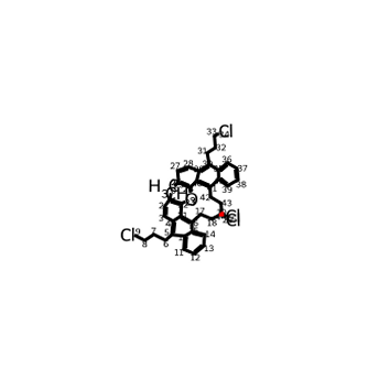 Cc1ccc2c(CCCCl)c3ccccc3c(CCCCl)c2c1Oc1c(C)ccc2c(CCCCl)c3ccccc3c(CCCCl)c12